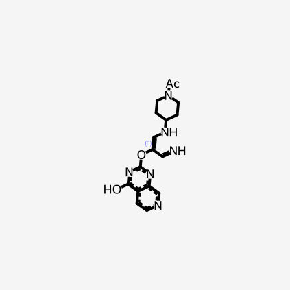 CC(=O)N1CCC(N/C=C(\C=N)Oc2nc(O)c3ccncc3n2)CC1